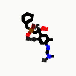 CCN(C)/C=N/c1cc(OC)c(C(O)(CS(=O)(=O)Cc2ccccc2)C(F)(F)F)cc1C